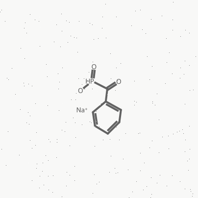 O=C(c1ccccc1)[PH](=O)[O-].[Na+]